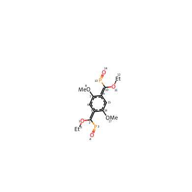 CCOC(P=O)=c1cc(OC)c(=C(OCC)P=O)cc1OC